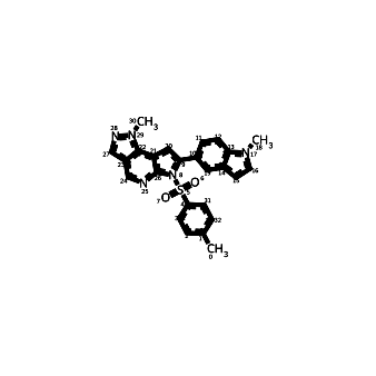 Cc1ccc(S(=O)(=O)n2c(-c3ccc4c(ccn4C)c3)cc3c4c(cnc32)cnn4C)cc1